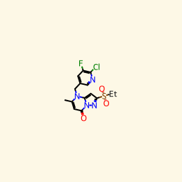 CCS(=O)(=O)c1cc2n(Cc3cnc(Cl)c(F)c3)c(C)cc(=O)n2n1